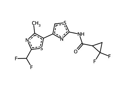 Cc1nc(C(F)F)sc1-c1csc(NC(=O)C2CC2(F)F)n1